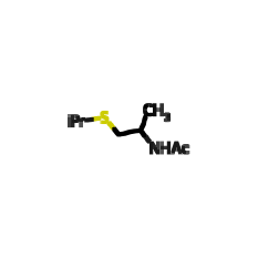 CC(=O)NC(C)CSC(C)C